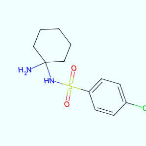 NC1(NS(=O)(=O)c2ccc(Cl)cc2)CCCCC1